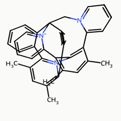 Cc1cc(C)c2c3c1-c1cccc[n+]1CC1(c4ccccc4-c4c(C)cc(C)c([n+]4-3)-c3ccccc31)[n+]1ccccc1-2